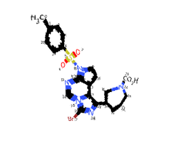 Cc1ccc(S(=O)(=O)n2ccc3c2ncn2c(Br)nc(C4CCCN(C(=O)O)C4)c32)cc1